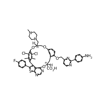 Cc1c(Cl)c2c(Cl)c(C)c1-c1c(-c3ccc(F)cc3)sc3ncnc(c13)O[C@@H](C(=O)O)Cc1cc(ccc1OCc1ccnc(-c3ccc(N)cc3)n1)OC[C@@H](CN1CCN(C)CC1)O2